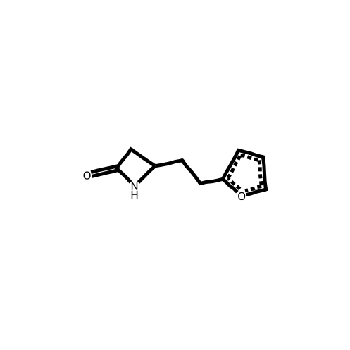 O=C1CC(CCc2ccco2)N1